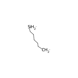 [CH2]CCCCC[SiH2]